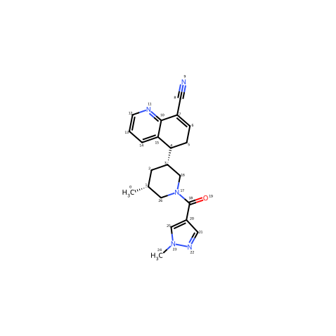 C[C@@H]1C[C@H](C2CC=C(C#N)c3ncccc32)CN(C(=O)c2cnn(C)c2)C1